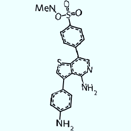 CNOS(=O)(=O)c1ccc(-c2cnc(N)c3c(-c4ccc(N)cc4)csc23)cc1